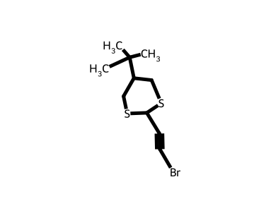 CC(C)(C)C1CSC(C#CBr)SC1